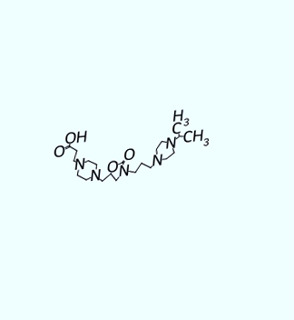 CC(C)N1CCN(CCCN2CC(CN3CCN(CCC(=O)O)CC3)OC2=O)CC1